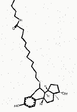 CCCCNC(=O)CCCCCCCCCCSC1Cc2cc(O)ccc2[C@H]2CC[C@]3(C)[C@@H](O)CC[C@H]3[C@H]12